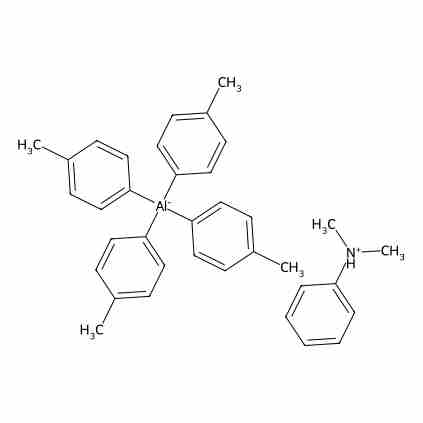 C[NH+](C)c1ccccc1.Cc1cc[c]([Al-]([c]2ccc(C)cc2)([c]2ccc(C)cc2)[c]2ccc(C)cc2)cc1